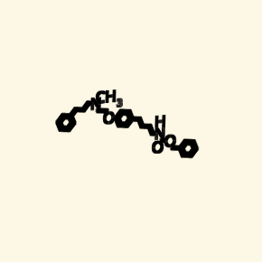 CN(CCCc1ccccc1)CCOc1ccc(CCCCNC(=O)OCc2ccccc2)cc1